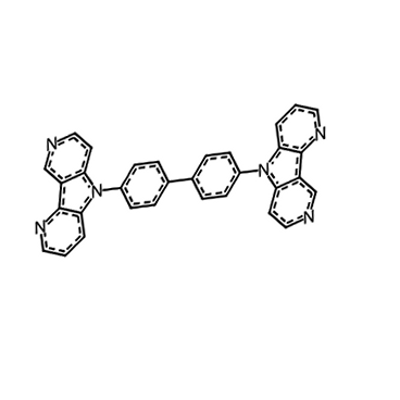 c1cnc2c3cnccc3n(-c3ccc(-c4ccc(-n5c6ccncc6c6ncccc65)cc4)cc3)c2c1